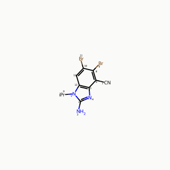 CC(C)n1c(N)nc2c(C#N)c(Br)c(Br)cc21